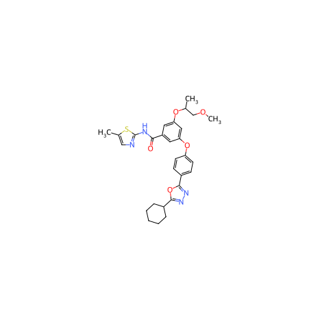 COCC(C)Oc1cc(Oc2ccc(-c3nnc(C4CCCCC4)o3)cc2)cc(C(=O)Nc2ncc(C)s2)c1